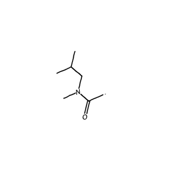 [CH2]C(=O)N(C)CC(C)C